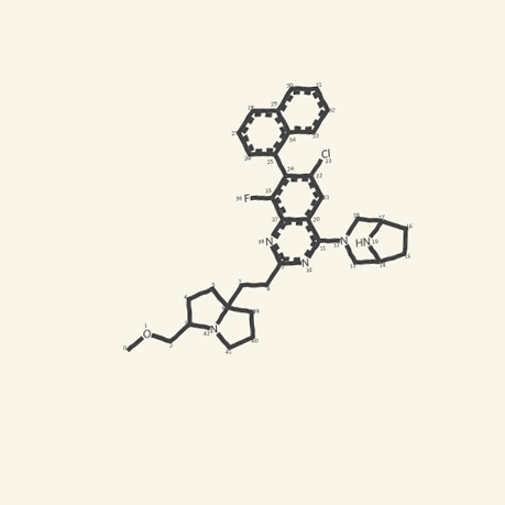 COCC1CCC2(CCc3nc(N4CC5CCC(C4)N5)c4cc(Cl)c(-c5cccc6ccccc56)c(F)c4n3)CCCN12